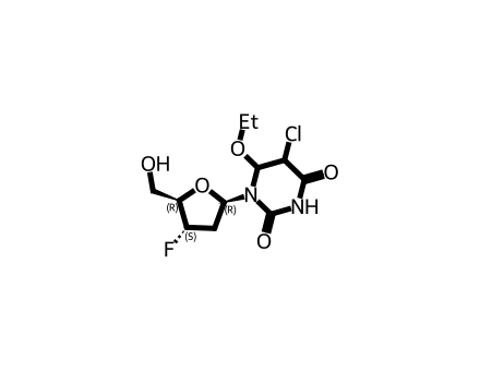 CCOC1C(Cl)C(=O)NC(=O)N1[C@H]1C[C@H](F)[C@@H](CO)O1